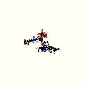 CCN(C(=O)OCc1ccc(O[C@@H]2O[C@H](C(=O)O)[C@@H](O)[C@H](O)[C@H]2O)c(C(=O)NCCNC(=O)CCCCCN2C(=O)C=CC2=O)c1)c1cc([C@]2(c3nncn3C)C[C@@H](C)C2)cc(N2Cc3c(SC)cc(CN4CCC[C@H](C)C4)cc3C2=O)n1